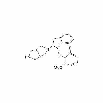 COc1cccc(F)c1OC1c2ccccc2CC1N1CC2CNCC2C1